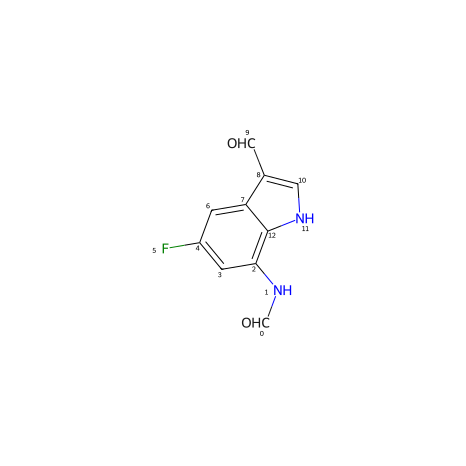 O=CNc1cc(F)cc2c(C=O)c[nH]c12